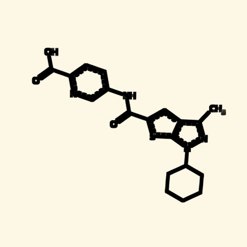 Cc1nn(C2CCCCC2)c2sc(C(=O)Nc3ccc(C(=O)O)nc3)cc12